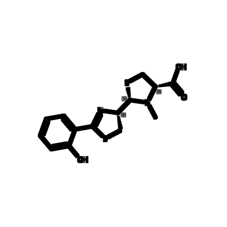 CN1[C@@H](C(=O)O)CS[C@H]1[C@@H]1CSC(c2ccccc2O)=N1